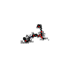 CN[C@H](C(=O)N[C@H](C(=O)N(C)[C@H](/C=C(\C)C(=O)NS(=O)(=O)c1ccc(NC(=O)[C@H](CCCNC(N)O)NC(O)[C@@H](NC(=O)CCCCC(=O)ON2C(=O)CCC2=O)C(C)C)cc1)C(C)C)C(C)(C)C)C(C)(C)c1ccccc1